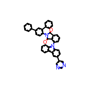 O=C1c2cccc(-n3c4ccccc4c4cc(-c5cncnc5)ccc43)c2C(=O)N1c1ccc(-c2ccccc2)cc1-c1ccccc1